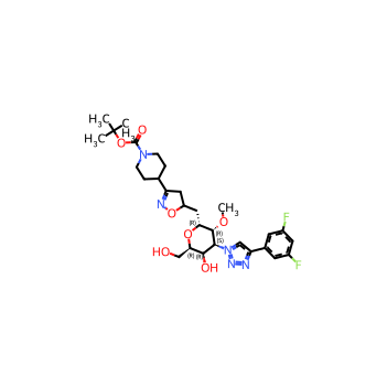 CO[C@@H]1[C@@H](n2cc(-c3cc(F)cc(F)c3)nn2)[C@@H](O)[C@@H](CO)O[C@@H]1CC1CC(C2CCN(C(=O)OC(C)(C)C)CC2)=NO1